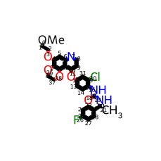 COCCOc1cc2nccc(Oc3ccc(NC(=O)N[C@@H](C)c4ccc(F)cc4)c(Cl)c3)c2c2c1OCCO2